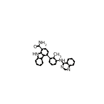 Cc1c(Nc2ncnc3ccccc23)cccc1-c1ccc(C(N)=O)c2[nH]c3ccccc3c12